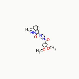 COc1ccc(C(=O)N2CCN(c3cc4cccc(C)c4[nH]c3=O)CC2)cc1OC